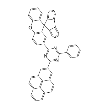 c1ccc(-c2nc(-c3ccc4c(c3)C3(c5ccccc5O4)c4ccccc4-c4ccccc43)nc(-c3cc4ccc5cccc6ccc(c3)c4c56)n2)cc1